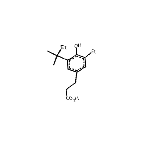 CCc1cc(CCC(=O)O)cc(C(C)(C)CC)c1O